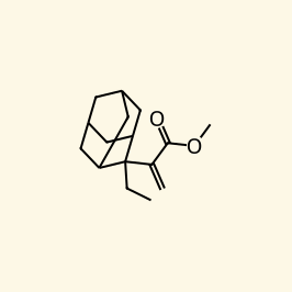 C=C(C(=O)OC)C1(CC)C2CC3CC(C2)CC1C3